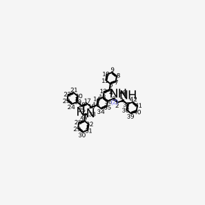 N=C(/C=C1\NC(c2ccccc2)=Cc2cc(-c3cc(-c4ccccc4)nc(-c4ccccc4)n3)ccc21)c1ccccc1